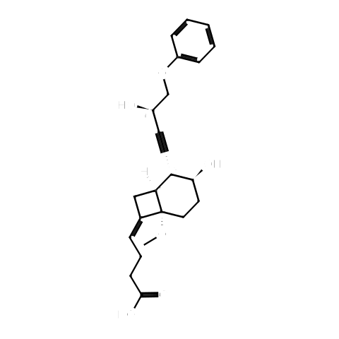 CO[C@@]12CC[C@H](O)[C@@H](C#C[C@@H](O)COc3ccccc3)[C@@H]1C/C2=C/CCC(=O)O